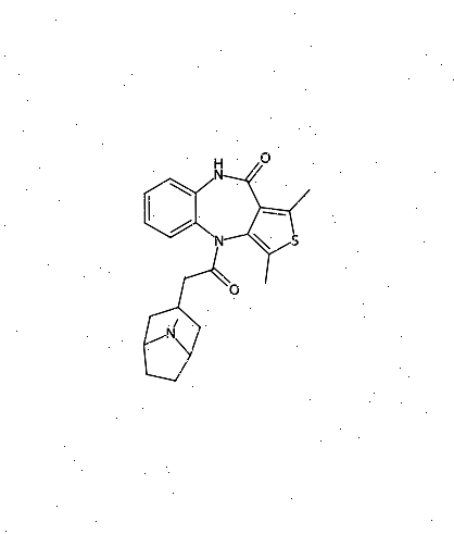 Cc1sc(C)c2c1C(=O)Nc1ccccc1N2C(=O)CC1CC2CCC(C1)N2C